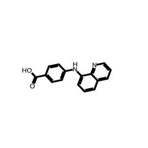 O=C(O)c1ccc(Nc2cccc3cccnc23)cc1